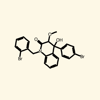 COC1C(=O)N(Cc2ccccc2Br)c2ccccc2C1(O)c1ccc(Br)cc1